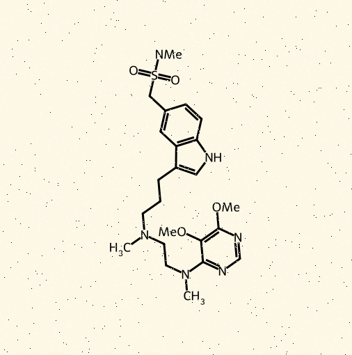 CNS(=O)(=O)Cc1ccc2[nH]cc(CCCN(C)CCN(C)c3ncnc(OC)c3OC)c2c1